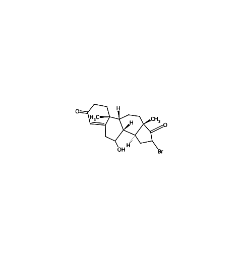 C[C@]12CCC(=O)C=C1CC(O)[C@@H]1[C@H]2CC[C@]2(C)C(=O)C(Br)C[C@@H]12